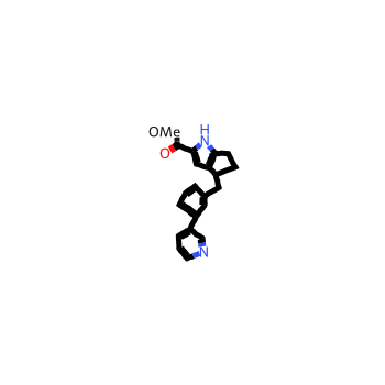 COC(=O)c1cc2c([nH]1)CCC2Cc1cccc(-c2cccnc2)c1